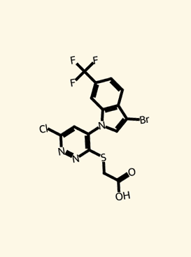 O=C(O)CSc1nnc(Cl)cc1-n1cc(Br)c2ccc(C(F)(F)F)cc21